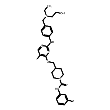 CCN(CCO)Cc1ccc(Nc2ncc(F)c(OCC3CCN(C(=O)Nc4cccc(F)c4)CC3)n2)cc1